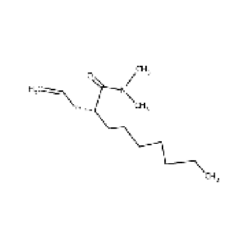 C=CC[C@@H](CCCCCCC)C(=O)N(C)C